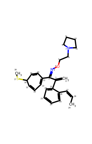 C=C(/C(=N\OCCN1CCCC1)C1=CC=CC(SC)C=C1)c1ccccc1/C=C\C